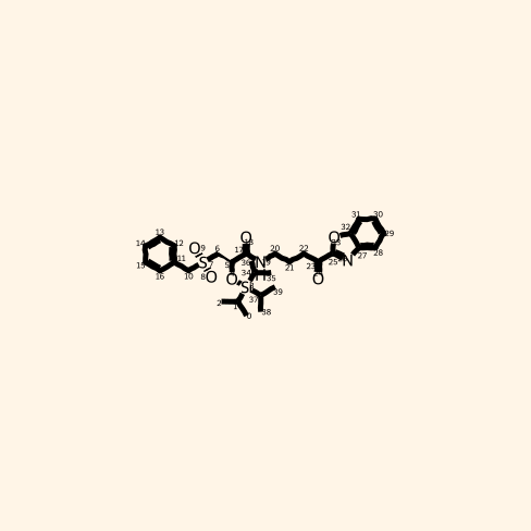 CC(C)[Si](O[C@@H](CS(=O)(=O)Cc1ccccc1)C(=O)NCCCC(=O)c1nc2ccccc2o1)(C(C)C)C(C)C